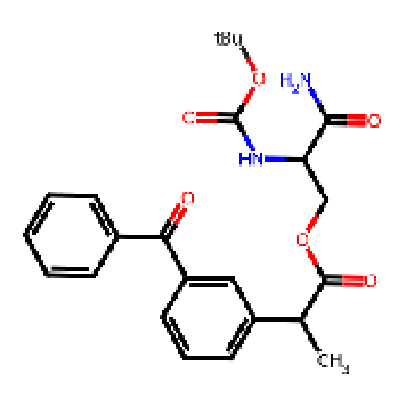 CC(C(=O)OCC(NC(=O)OC(C)(C)C)C(N)=O)c1cccc(C(=O)c2ccccc2)c1